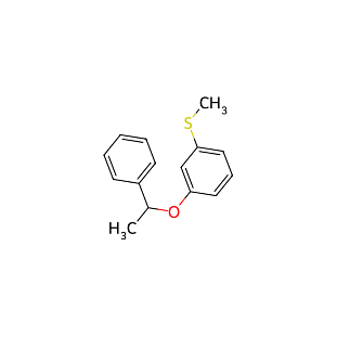 CSc1cccc(OC(C)c2ccccc2)c1